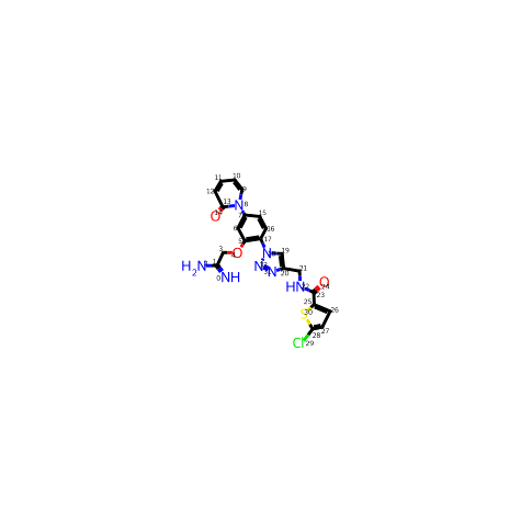 N=C(N)COc1cc(-n2ccccc2=O)ccc1-n1cc(CNC(=O)c2ccc(Cl)s2)nn1